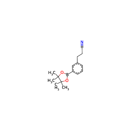 CC1(C)OB(c2cccc(CCC#N)c2)OC1(C)C